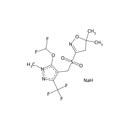 Cn1nc(C(F)(F)F)c(CS(=O)(=O)C2=NOC(C)(C)C2)c1OC(F)F.[NaH]